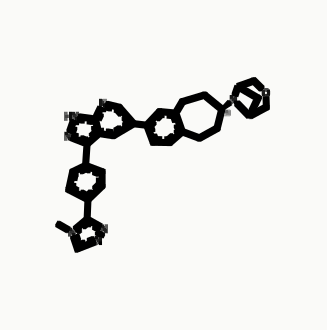 Cn1cnnc1-c1ccc(-c2n[nH]c3ncc(-c4ccc5c(c4)CC[C@@H](N4C6COCC4C6)CC5)cc23)cc1